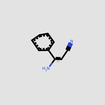 N#C/C=C(/N)c1ccccc1